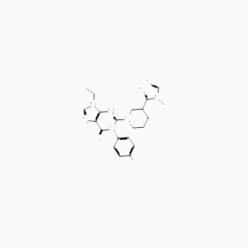 CCn1cnc2c(=O)n(-c3ccc(Cl)cc3)c(N3CCCC(c4nncn4C)C3)nc21